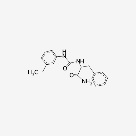 CCc1cccc(NC(=O)NC(Cc2ccccc2)C(N)=O)c1